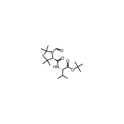 CC(C)[C@H](NC(=O)[C@@H]1N(C=O)C(C)(C)SC1(C)C)C(=O)OC(C)(C)C